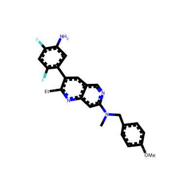 CCc1nc2cc(N(C)Cc3ccc(OC)cc3)ncc2cc1-c1cc(N)c(F)cc1F